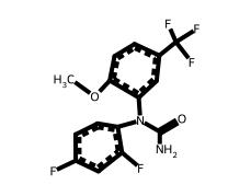 COc1ccc(C(F)(F)F)cc1N(C(N)=O)c1ccc(F)cc1F